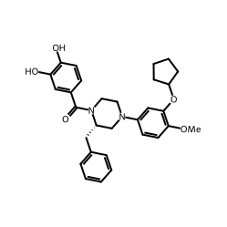 COc1ccc(N2CCN(C(=O)c3ccc(O)c(O)c3)[C@@H](Cc3ccccc3)C2)cc1OC1CCCC1